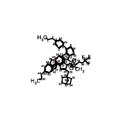 CCCc1ccc(-c2cccc3c2C=C(CC24CCC(CC2)C4)[CH]3[Zr]([Cl])([Cl])([CH]2C(CC34CCC(CC3)C4)=Cc3c(-c4ccc(CCC)cc4)cccc32)[SiH](C)CCC(F)(F)F)cc1